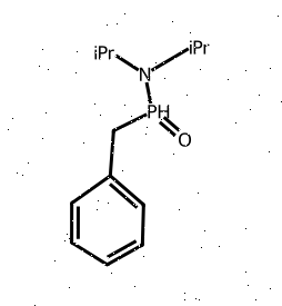 CC(C)N(C(C)C)[PH](=O)Cc1ccccc1